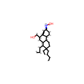 CCCCC1(CC)CCC2C3CC/C(=N\O)C=C3C(CO)CC2C1CCC